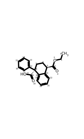 CCOC(=O)[C@@H]1CC[C@](C(=O)O)(c2ccccc2)c2ccccc21